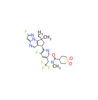 CN(C(=O)C1CCS(=O)(=O)CC1)[C@@H](c1cnc([C@@H]2CC(C)(C)c3c2cnc2cc(F)nn32)c(F)c1)C(F)(F)F